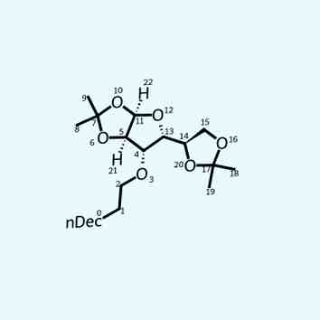 CCCCCCCCCCCCO[C@@H]1[C@H]2OC(C)(C)O[C@H]2O[C@@H]1[C@H]1COC(C)(C)O1